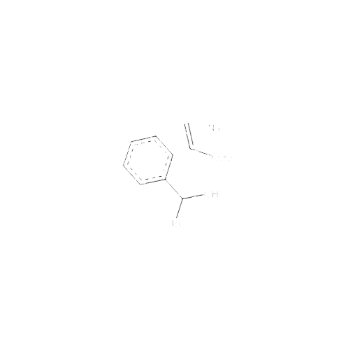 C=CC(=O)[O-].CCC(O)c1ccccc1.[Na+]